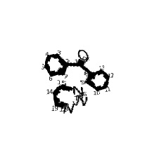 O=C(c1ccccc1)c1ccccc1.c1cnnnc1